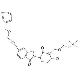 C[Si](C)(C)CCOCN1C(=O)CCC(N2Cc3cc(C#CCOCc4ccccc4)ccc3C2=O)C1=O